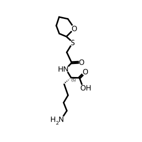 NCCCC[C@H](NC(=O)CSC1CCCCO1)C(=O)O